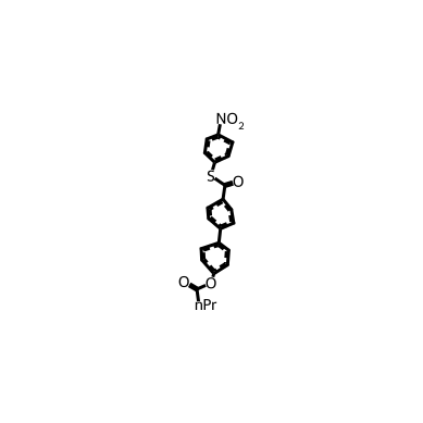 CCCC(=O)Oc1ccc(-c2ccc(C(=O)Sc3ccc([N+](=O)[O-])cc3)cc2)cc1